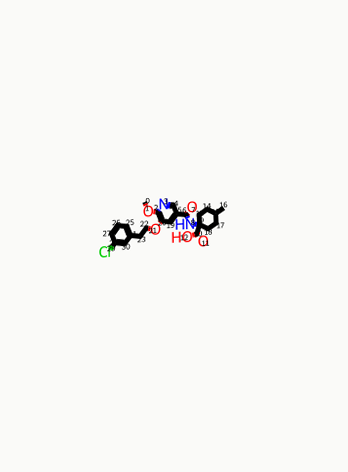 COc1ncc(C(=O)NC2(C(=O)O)CCC(C)CC2)cc1OCCc1cccc(Cl)c1